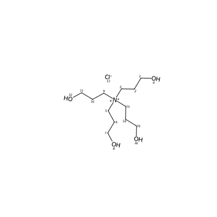 OCCC[N+](CCCO)(CCCO)CCCO.[Cl-]